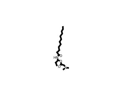 CCCCCCCCCCCC(=O)NC(CC)OC(=O)CN(C)C